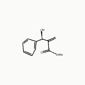 C=C(C(=O)OC)[C@H](O)c1ccccc1